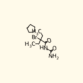 C1CCCC1.CCC(Br)(CC)C(=O)NC(N)=O